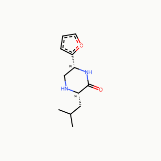 CC(C)C[C@@H]1NC[C@H](c2ccco2)NC1=O